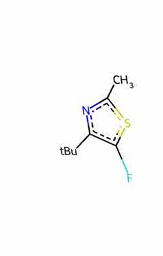 Cc1nc(C(C)(C)C)c(F)s1